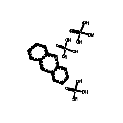 O=P(O)(O)O.O=P(O)(O)O.O=P(O)(O)O.c1ccc2nc3ccccc3cc2c1